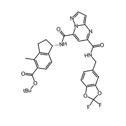 Cc1c(C(=O)OC(C)(C)C)ccc2c1CC[C@@H]2NC(=O)c1cc(C(=O)NCc2ccc3c(c2)OC(F)(F)O3)nc2ccnn12